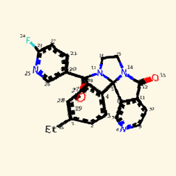 CCc1ccc(C23c4cnccc4C(=O)N2CCN3C(=O)c2ccc(F)nc2)cc1